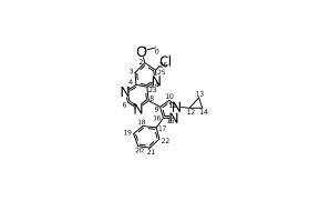 COc1cc2ncnc(-c3cn(C4CC4)nc3-c3ccccc3)c2nc1Cl